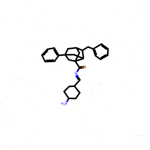 NC1CCC(/C=N/C(=S)C23CC4CC(c5ccccc5)(CC2C4Cc2ccccc2)C3)CC1